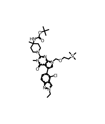 CCn1cc2c(Cl)c(-c3cn(COCC[Si](C)(C)C)c4nc(N5CCC(C)(NC(=O)OC(C)(C)C)CC5)n(C)c(=O)c34)ccc2n1